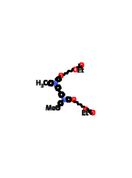 CCC1(COCCCCCCOc2ccc(N(c3ccc(C)cc3)c3ccc(-c4ccc(N(c5ccc(OC)cc5)c5ccc(OCCCCCCOCC6(CC)COC6)cc5)cc4)cc3)cc2)COC1